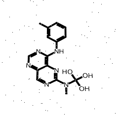 Cc1cccc(Nc2ncnc3cnc(N(C)C(O)(O)O)nc23)c1